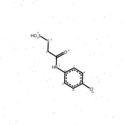 O=C(CSS(=O)(=O)O)Nc1ccc(Cl)cc1